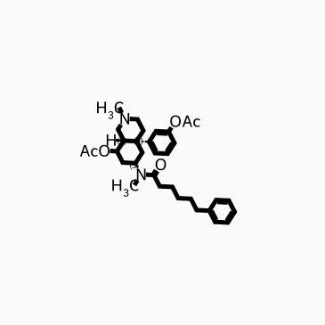 CC(=O)Oc1cccc([C@@]23CCN(C)C[C@H]2C(OC(C)=O)C[C@@H](N(C)C(=O)CCCCCc2ccccc2)C3)c1